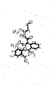 CON=C(C(=O)NN(C)CCCl)c1ccccc1C(C)Oc1ccccc1C